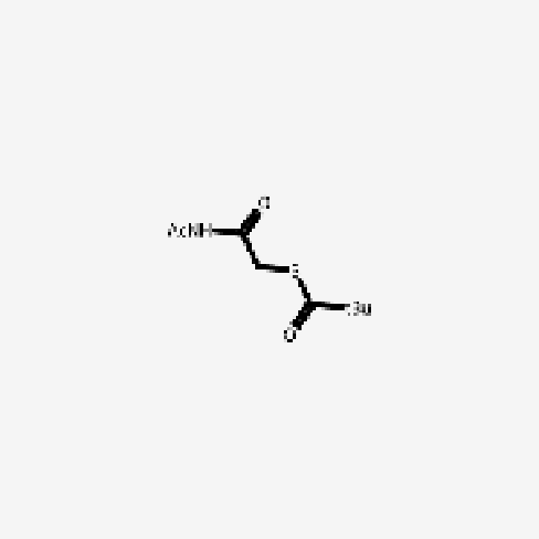 CC(=O)NC(=O)CSC(=O)C(C)(C)C